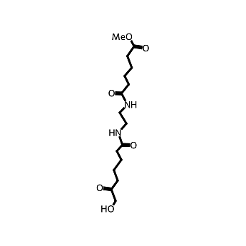 COC(=O)CCCCC(=O)NCCNC(=O)CCCCC(=O)CO